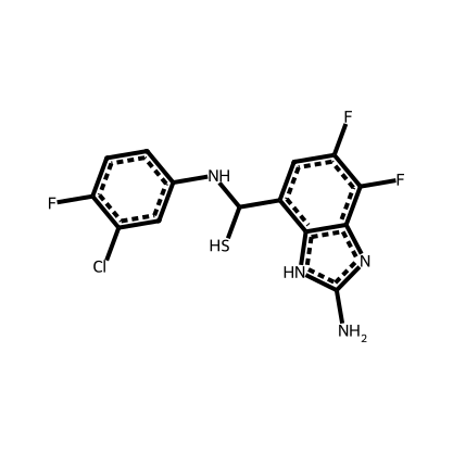 Nc1nc2c(F)c(F)cc(C(S)Nc3ccc(F)c(Cl)c3)c2[nH]1